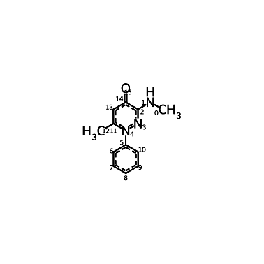 CNc1nn(-c2ccccc2)c(C)cc1=O